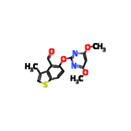 COc1cc(OC)nc(Oc2ccc3scc(C)c3c2C=O)n1